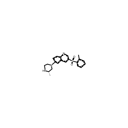 Cc1ccccc1S(=O)(=O)c1cnc2ccc(N3CCN[C@@H](C)C3)cc2c1